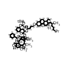 CC(=O)O[C@@]12CO[C@@H]1C[C@H](C)[C@@]1(C)C(=O)[C@H](C)C3=C(C)[C@@H](OC(=O)[C@H](OC(=O)/C=C/CO[C@H]4CC[C@@]5(C)C(=CCC6C5CC[C@@]5(C)C6CC[C@@H]5[C@H](C)CCCC(C)C)C4)[C@@H](NC(=O)OC(C)(C)C)c4ccccc4)C[C@@](O)([C@@H](OC(=O)c4ccccc4)[C@H]21)C3(C)C